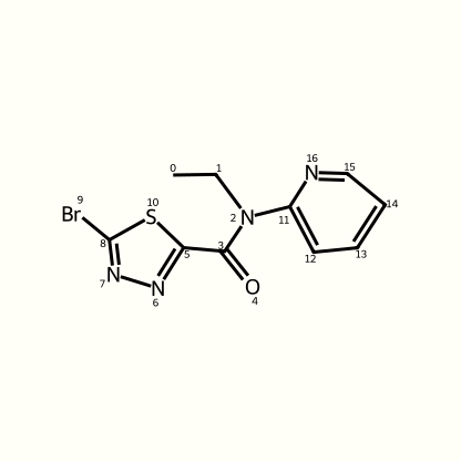 CCN(C(=O)c1nnc(Br)s1)c1ccccn1